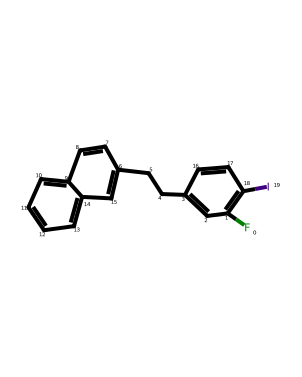 Fc1cc(CCc2ccc3ccccc3c2)ccc1I